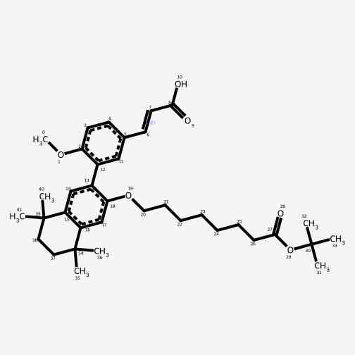 COc1ccc(/C=C/C(=O)O)cc1-c1cc2c(cc1OCCCCCCCC(=O)OC(C)(C)C)C(C)(C)CCC2(C)C